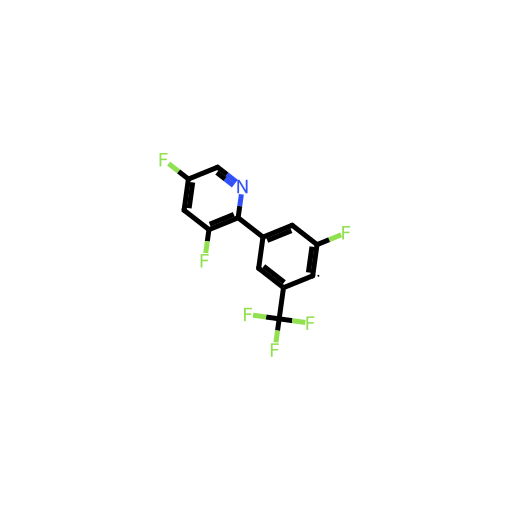 Fc1[c]c(C(F)(F)F)cc(-c2ncc(F)cc2F)c1